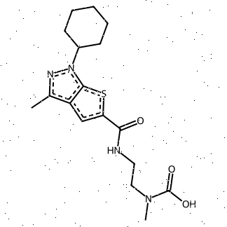 Cc1nn(C2CCCCC2)c2sc(C(=O)NCCN(C)C(=O)O)cc12